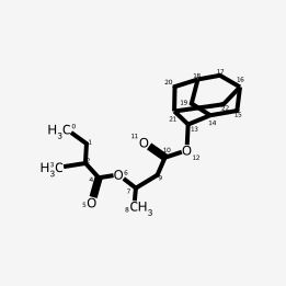 CCC(C)C(=O)OC(C)CC(=O)OC1C2CC3CC(C2)CC1C3